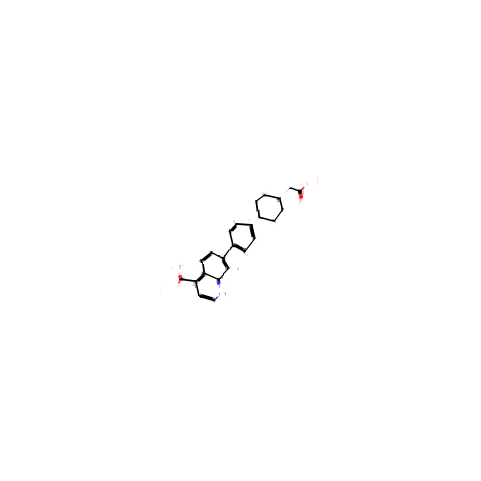 O=C(O)C[C@H]1CC[C@H](c2ccc(-c3ccc4c(C(=O)O)ccnc4c3)cc2)CC1